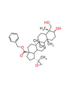 CC1([C@@H]2CC[C@]3(C(=O)OCc4ccccc4)CC[C@]4(C)C(CCC5[C@@]6(C)CC[C@H](O)[C@@](C)(CO)C6CC[C@]54C)C23)CO1